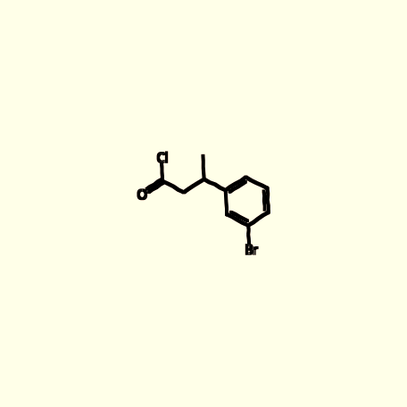 CC(CC(=O)Cl)c1cccc(Br)c1